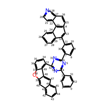 c1ccc(-c2nc(-c3cccc(-c4cc5ccc6cnccc6c5c5ccccc45)c3)nc(-c3cccc4oc5cc6ccccc6cc5c34)n2)cc1